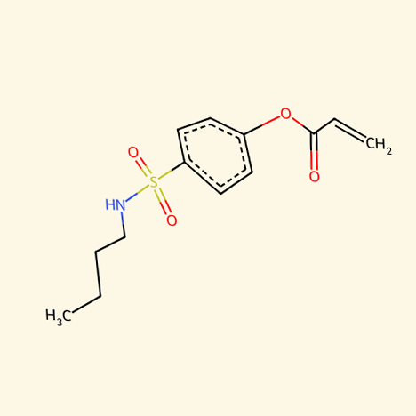 C=CC(=O)Oc1ccc(S(=O)(=O)NCCCC)cc1